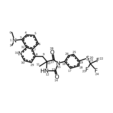 CN(C)c1cccc2c(CC3(C)NC(=O)N(c4ccc(SC(F)(F)F)cc4)C3=O)ccnc12